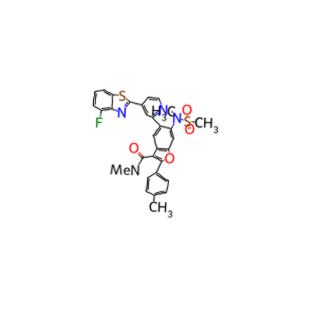 CNC(=O)c1c(-c2ccc(C)cc2)oc2cc(N(C)S(C)(=O)=O)c(-c3cc(-c4nc5c(F)cccc5s4)ccn3)cc12